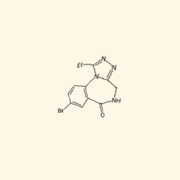 CCc1nnc2n1-c1ccc(Br)cc1C(=O)NC2